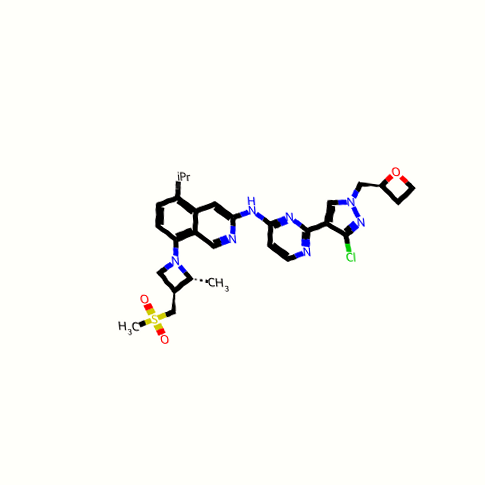 CC(C)c1ccc(N2C[C@H](CS(C)(=O)=O)[C@H]2C)c2cnc(Nc3ccnc(-c4cn(C[C@@H]5CCO5)nc4Cl)n3)cc12